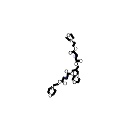 O=C(/C=C/C(=O)OCC(COC(=O)/C=C/C(=O)OCCN1CCOCC1)CN1CCOCC1)OCCN1CCOCC1